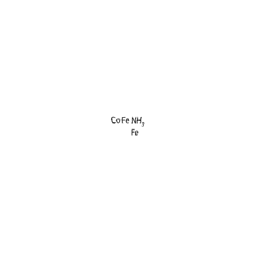 N.[Co].[Fe].[Fe]